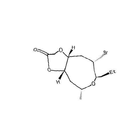 CC[C@H]1O[C@H](C)C[C@@H]2OC(=O)O[C@@H]2C[C@@H]1Br